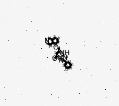 O=c1cc(COc2cccc3cnccc23)[nH]c2nc(-c3ccccc3)nn12